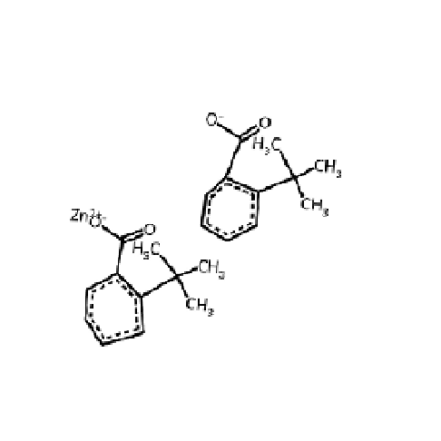 CC(C)(C)c1ccccc1C(=O)[O-].CC(C)(C)c1ccccc1C(=O)[O-].[Zn+2]